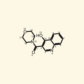 O=C(c1cnc2ccccc2c1O)N1CCOCC1